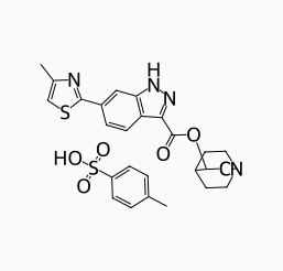 Cc1ccc(S(=O)(=O)O)cc1.Cc1csc(-c2ccc3c(C(=O)OC4CN5CCC4CC5)n[nH]c3c2)n1